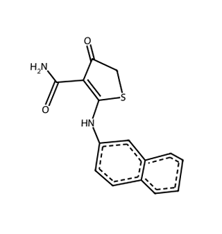 NC(=O)C1=C(Nc2ccc3ccccc3c2)SCC1=O